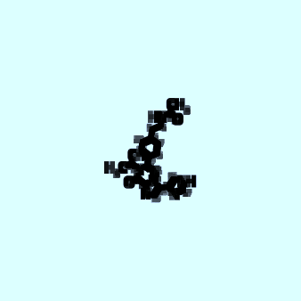 CC(=O)NCCc1ccc(-c2nn3c(-c4c[nH]cn4)cnc3c(=O)n2C(C)C)cc1